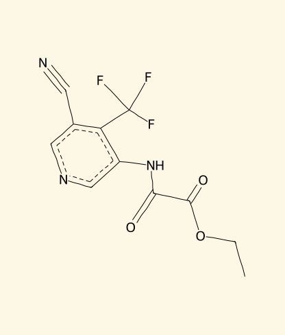 CCOC(=O)C(=O)Nc1cncc(C#N)c1C(F)(F)F